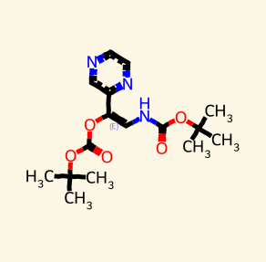 CC(C)(C)OC(=O)N/C=C(/OC(=O)OC(C)(C)C)c1cnccn1